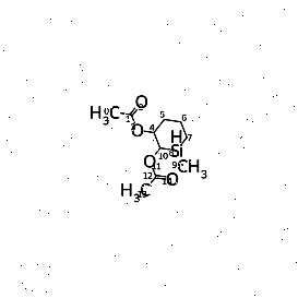 CC(=O)OC1CCC[SiH](C)C1OC(C)=O